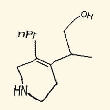 CCCC1=C(C(C)CO)CCNC1